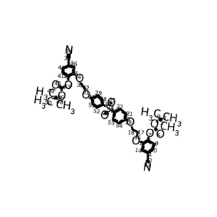 CC(C)(C)OC(=O)Oc1ccc(C#N)cc1OCCOc1ccc(S(=O)(=O)c2ccc(OCCOc3cc(C#N)ccc3OC(=O)OC(C)(C)C)cc2)cc1